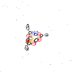 c1ccc2c3c(sc2c1)B1c2cc4c(cc2Nc2cc(C56CC7CC(CC(C7)C5)C6)cc(c21)O3)Oc1cc(C23CC5CC(CC(C5)C2)C3)cc2c1B4c1cc3c(cc1O2)Oc1cc(C24CC5CC(CC(C5)C2)C4)cc2c1B3c1sc3ccccc3c1O2